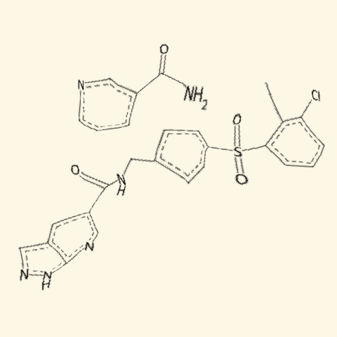 Cc1c(Cl)cccc1S(=O)(=O)c1ccc(CNC(=O)c2cnc3[nH]ncc3c2)cc1.NC(=O)c1cccnc1